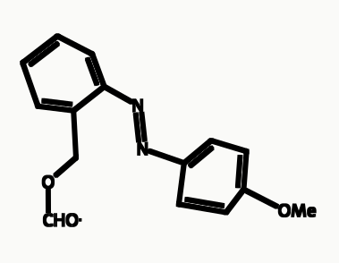 COc1ccc(/N=N/c2ccccc2CO[C]=O)cc1